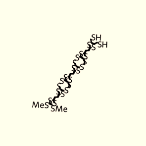 CSC1=C(SC)SC(=CC=C2SC3=C(SCSC4=C(SCS3)SC(=CC=C3SC5=C(SCSC6=C(SCS5)SC(=CC=C5SC(CS)=C(CS)S5)S6)S3)S4)S2)S1